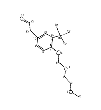 COCCOCOc1ccc(CC=O)cc1C(C)(C)C